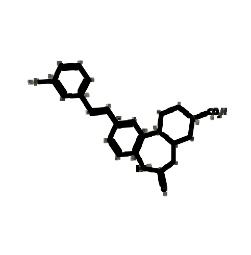 O=C1CC2CN(C(=O)O)CCN2c2cc(/C=C/c3cccc(F)c3)ccc2N1